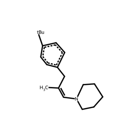 CC(=CN1CCCCC1)Cc1ccc(C(C)(C)C)cc1